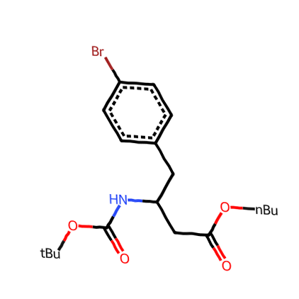 CCCCOC(=O)CC(Cc1ccc(Br)cc1)NC(=O)OC(C)(C)C